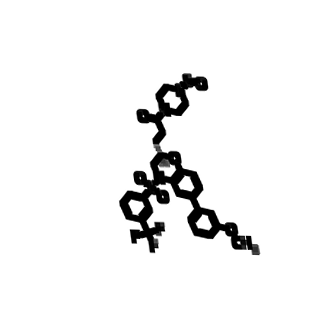 COc1cccc(-c2ccc3c(c2)N(S(=O)(=O)c2cccc(C(F)(F)F)c2)C[C@H](CCC(=O)N2CCS(=S=O)CC2)O3)c1